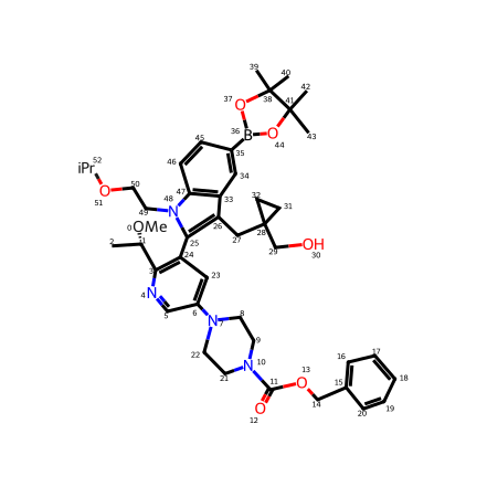 CO[C@@H](C)c1ncc(N2CCN(C(=O)OCc3ccccc3)CC2)cc1-c1c(CC2(CO)CC2)c2cc(B3OC(C)(C)C(C)(C)O3)ccc2n1CCOC(C)C